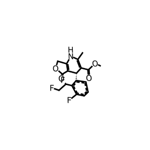 COC(=O)C1=C(C)NC2=C(C(=O)OC2)[C@H]1c1cccc(F)c1[C@H](F)CF